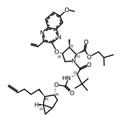 C=CCCC[C@H]1[C@H](OC(=O)N[C@H](C(=O)N2C[C@H](Oc3nc4cc(OC)ccc4nc3C=C)[C@@H](C)[C@H]2C(=O)OCC(C)C)C(C)(C)C)CC2C[C@@H]21